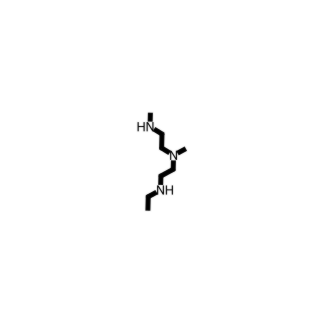 CCNCCN(C)CCNC